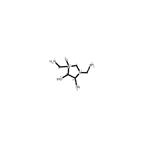 NCN1C[N+]([O-])(CN)C(O)C1O